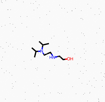 CC(C)N(CCNCCO)C(C)C